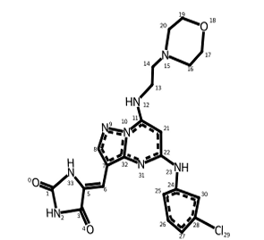 O=C1NC(=O)/C(=C/c2cnn3c(NCCN4CCOCC4)cc(Nc4cccc(Cl)c4)nc23)N1